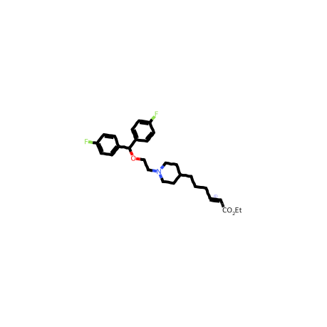 CCOC(=O)/C=C/CCCC1CCN(CCOC(c2ccc(F)cc2)c2ccc(F)cc2)CC1